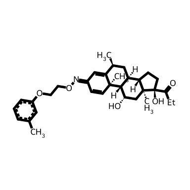 CCC(=O)[C@@]1(O)CC[C@H]2[C@@H]3C[C@H](C)C4=C/C(=N/OCCOc5cccc(C)c5)C=C[C@]4(C)[C@H]3[C@@H](O)C[C@@]21C